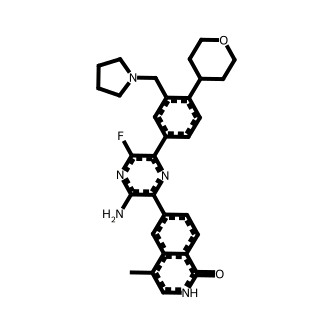 Cc1c[nH]c(=O)c2ccc(-c3nc(-c4ccc(C5CCOCC5)c(CN5CCCC5)c4)c(F)nc3N)cc12